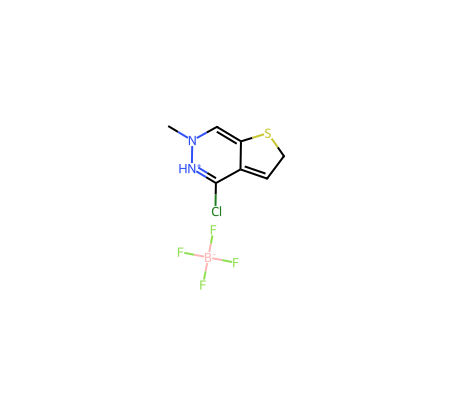 CN1C=C2SCC=C2C(Cl)=[NH+]1.F[B-](F)(F)F